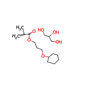 C=C(C)C(=O)OCCCOC1CCCCC1.OCC(O)CO